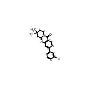 CC1(C)CCn2c(nc3cc(-c4cccc(F)c4)ccc3c2=O)C1